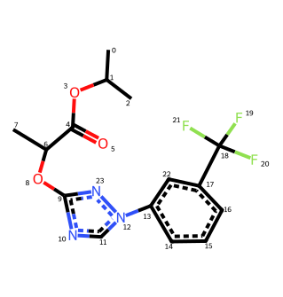 CC(C)OC(=O)C(C)Oc1ncn(-c2cccc(C(F)(F)F)c2)n1